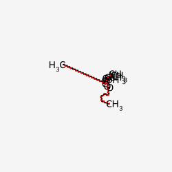 CCCCC/C=C\C/C=C\C/C=C\C/C=C\CCCC(=O)OC[C@H](COP(=O)(O)OCC[N+](C)(C)C)OC(=O)CCCCCCCCCCCCCCCCCCCCCCCCCCCCCCC